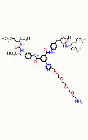 NCCOCCOCCOCCOCc1cn(-c2cc(C(=O)Nc3ccc(C[C@H](CC(=O)N[C@@H](CCC(=O)O)C(=O)O)C(=O)O)cc3)cc(C(=O)Nc3ccc(C[C@H](NC(=O)N[C@@H](CCC(=O)O)C(=O)O)C(=O)O)cc3)c2)nn1